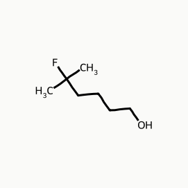 CC(C)(F)CCCCO